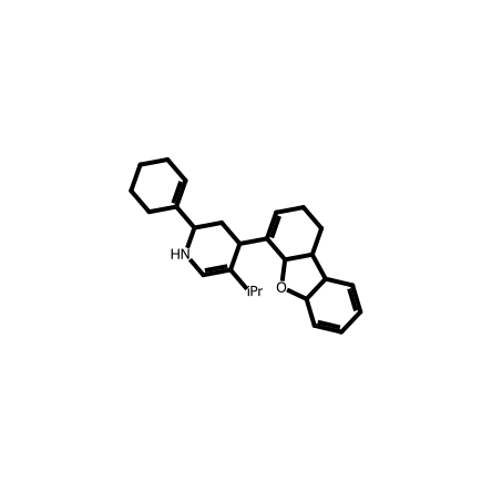 CC(C)C1=CNC(C2=CCCCC2)CC1C1=CCCC2C1OC1C=CC=CC12